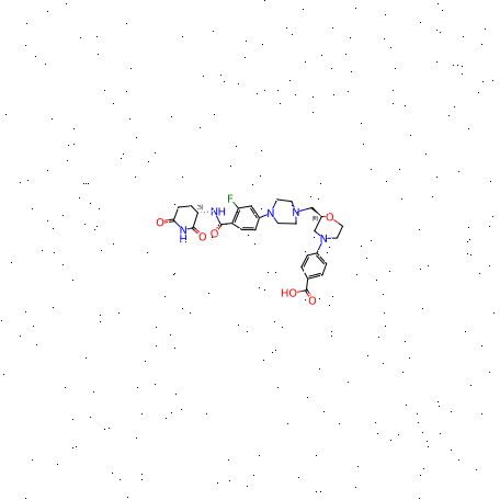 O=C1CC[C@H](NC(=O)c2ccc(N3CCN(C[C@@H]4CN(c5ccc(C(=O)O)cc5)CCO4)CC3)cc2F)C(=O)N1